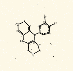 Fc1ccc(C2C3=CCOC=C3NC3=C2CCOC3)cc1Br